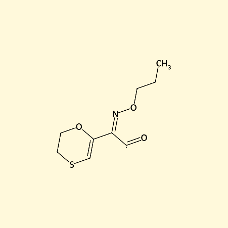 CCCON=C([C]=O)C1=CSCCO1